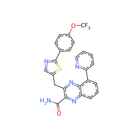 NC(=O)c1nc2cccc(-c3ccccn3)c2nc1Cc1cnc(-c2ccc(OC(F)(F)F)cc2)s1